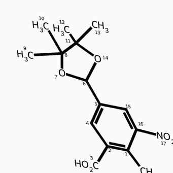 Cc1c(C(=O)O)cc(C2OC(C)(C)C(C)(C)O2)cc1[N+](=O)[O-]